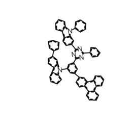 c1ccc(-c2ccc3c4ccccc4n(-c4cc(-c5ccc6c7ccccc7c7ccccc7c6c5)cc(-c5nc(-c6ccccc6)nc(-c6ccc7c8ccccc8n(-c8ccccc8)c7c6)n5)c4)c3c2)cc1